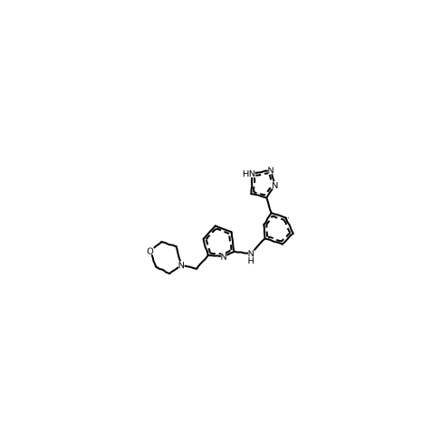 [c]1ccc(Nc2cccc(CN3CCOCC3)n2)cc1-c1c[nH]nn1